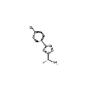 C[C@@H](N)c1ccn(-c2ccc(Cl)cc2)n1